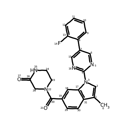 Cc1cn(-c2ncc(-c3ccccc3F)cn2)c2cc(C(=O)N3CCNC(=O)C3)ccc12